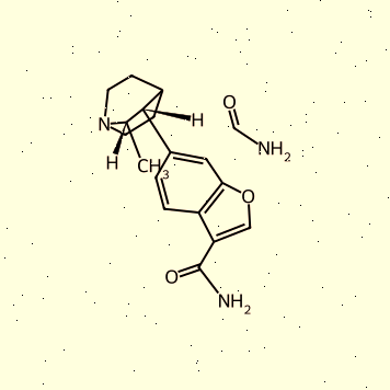 C[C@H]1[C@@H](c2ccc3c(C(N)=O)coc3c2)C2CCN1CC2.NC=O